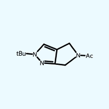 CC(=O)N1Cc2cn(C(C)(C)C)nc2C1